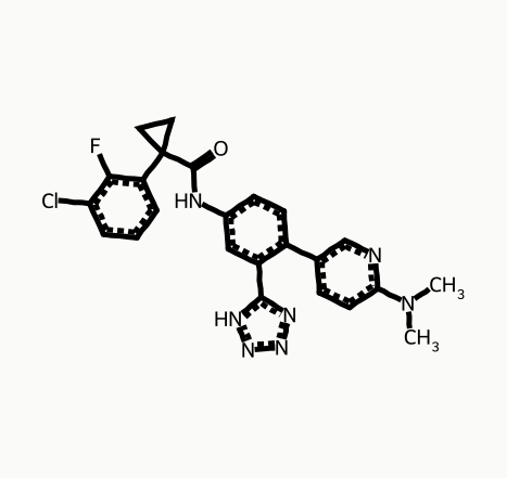 CN(C)c1ccc(-c2ccc(NC(=O)C3(c4cccc(Cl)c4F)CC3)cc2-c2nnn[nH]2)cn1